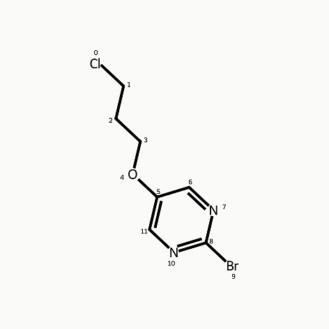 ClCCCOc1cnc(Br)nc1